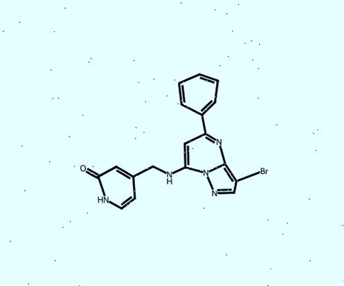 O=c1cc(CNc2cc(-c3ccccc3)nc3c(Br)cnn23)cc[nH]1